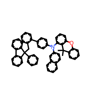 CC1(C)c2ccccc2Oc2cccc(N(c3ccc(-c4ccccc4CC4(c5ccccc5)c5ccccc5-c5ccccc54)cc3)c3ccc4ccccc4c3)c21